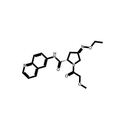 CCON=C1C[C@@H](C(=O)Nc2ccc3ncccc3c2)N(C(=O)COC)C1